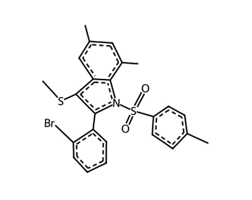 CSc1c(-c2ccccc2Br)n(S(=O)(=O)c2ccc(C)cc2)c2c(C)cc(C)cc12